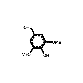 COc1cc([C]=O)cc(OC)c1O